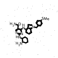 CSc1ccc(Cn2ccc3c(Nc4nc(NC5CCCCC5N)ncc4C(N)=O)cccc32)cc1